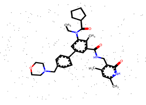 CCN(C(=O)C1CCCC1)c1cc(-c2ccc(CN3CCOCC3)cc2)cc(C(=O)NCc2c(C)cc(C)[nH]c2=O)c1C